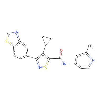 O=C(Nc1ccnc(C(F)(F)F)c1)c1snc(-c2ccc3scnc3c2)c1C1CC1